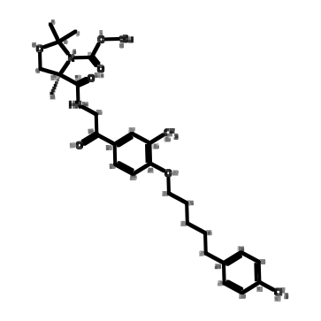 CC(C)(C)OC(=O)N1C(C)(C)OC[C@]1(C)C(=O)NCC(=O)c1ccc(OCCCCCc2ccc(C(F)(F)F)cc2)c(C(F)(F)F)c1